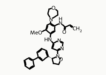 C=CC(=O)Nc1cc(Nc2cc(N3OCC[C@@H]3c3cccc(-c4ccccc4)c3)ncn2)c(OC)cc1N1CCOCC1